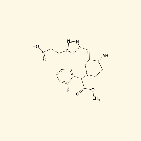 COC(=O)C(c1ccccc1F)N1CCC(S)/C(=C/c2cn(CCC(=O)O)nn2)C1